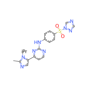 Cc1ncc(-c2ccnc(Nc3ccc(S(=O)(=O)n4cncn4)cc3)n2)n1C(C)C